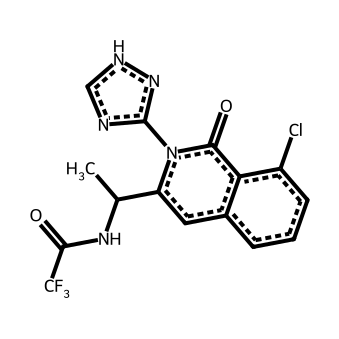 CC(NC(=O)C(F)(F)F)c1cc2cccc(Cl)c2c(=O)n1-c1nc[nH]n1